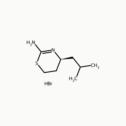 Br.CC(C)C[C@H]1CCSC(N)=N1